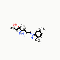 Cc1ccc([N+](=O)[O-])c(NCCCC(N)C(C)(O)CC(C)C)c1